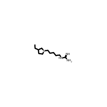 CCC1CCN(CCCCCNC(=N)N)C1